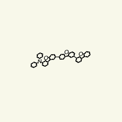 c1ccc(N(c2ccccc2)c2cccc3c2oc2ccc(-c4ccc5c(c4)oc4ccc(-c6cccc7c6oc6ccccc67)cc45)cc23)cc1